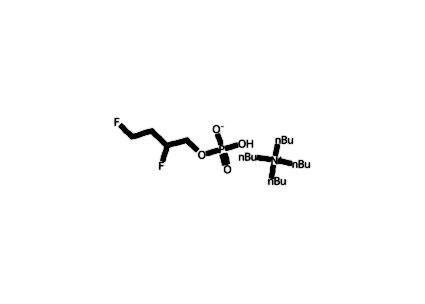 CCCC[N+](CCCC)(CCCC)CCCC.O=P([O-])(O)OCC(F)CCF